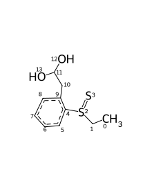 CCS(=S)c1ccccc1CC(O)O